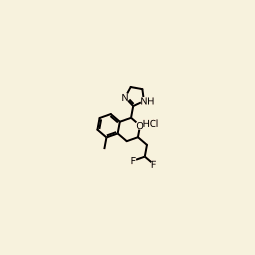 Cc1cccc2c1CC(CC(F)F)OC2C1=NCCN1.Cl